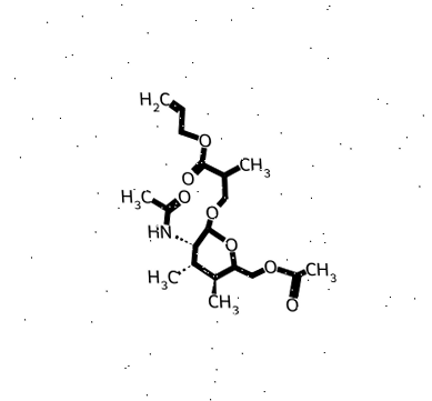 C=CCOC(=O)C(C)COC1OC(COC(C)=O)[C@@H](C)[C@H](C)[C@@H]1NC(C)=O